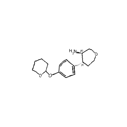 N[C@H]1COCC[C@@H]1c1ccc(OC2CCCCO2)cc1